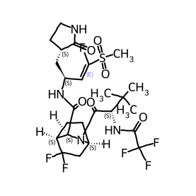 CC(C)(C)[C@H](NC(=O)C(F)(F)F)C(=O)N1[C@H]2CC[C@@H]([C@H]1C(=O)N[C@H](/C=C(\F)S(C)(=O)=O)C[C@@H]1CCNC1=O)C(F)(F)C2